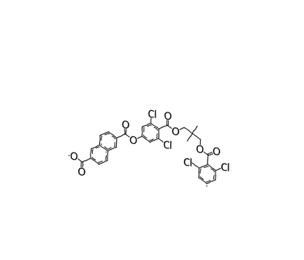 CC(C)(COC(=O)c1c(Cl)c[c]cc1Cl)COC(=O)c1c(Cl)cc(OC(=O)c2ccc3cc(C([O])=O)ccc3c2)cc1Cl